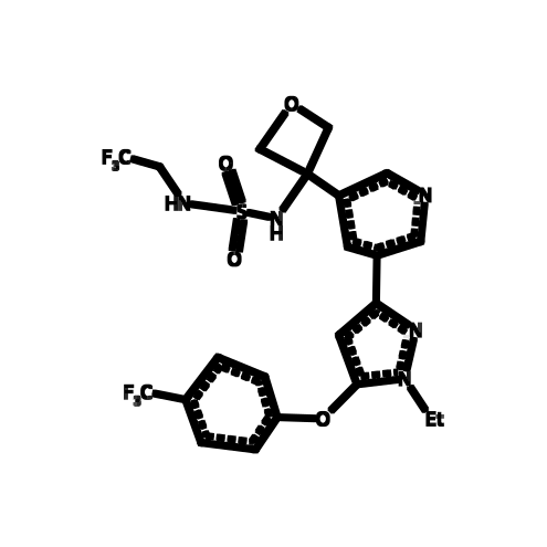 CCn1nc(-c2cncc(C3(NS(=O)(=O)NCC(F)(F)F)COC3)c2)cc1Oc1ccc(C(F)(F)F)cc1